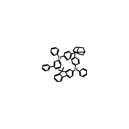 CC1(C)c2ccccc2-c2ccc(N(c3ccccc3)c3ccc(C4(c5ccc(N(c6ccccc6)c6cccc(-c7ccccc7)c6)cc5)C5CC6CC(C5)CC4C6)cc3)cc21